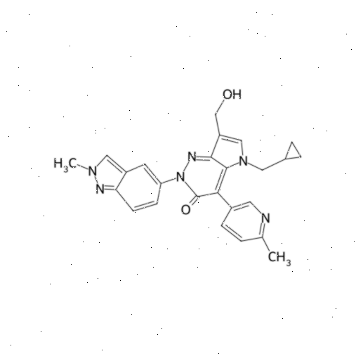 Cc1ccc(-c2c(=O)n(-c3ccc4nn(C)cc4c3)nc3c(CO)cn(CC4CC4)c23)cn1